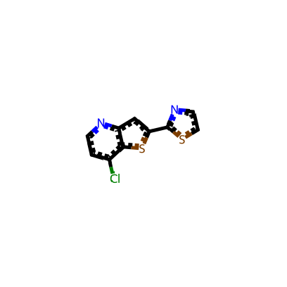 Clc1ccnc2cc(-c3nccs3)sc12